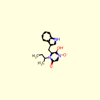 CCC(C)n1c(Cc2c[nH]c3ccccc23)c(O)[n+]([O-])cc1=O